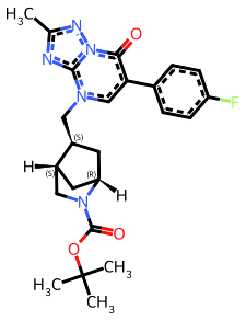 Cc1nc2n(C[C@H]3C[C@H]4C[C@@H]3CN4C(=O)OC(C)(C)C)cc(-c3ccc(F)cc3)c(=O)n2n1